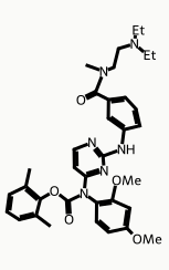 CCN(CC)CCN(C)C(=O)c1cccc(Nc2nccc(N(C(=O)Oc3c(C)cccc3C)c3ccc(OC)cc3OC)n2)c1